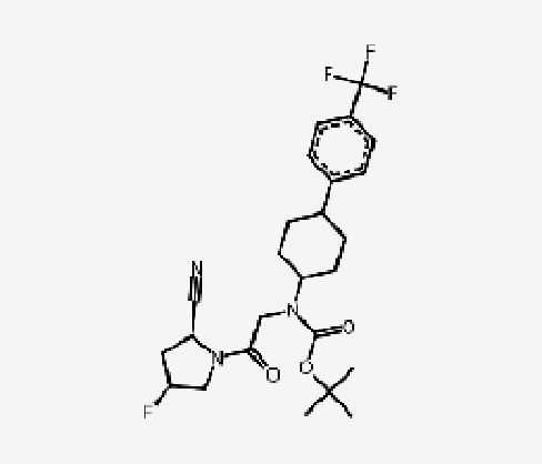 CC(C)(C)OC(=O)N(CC(=O)N1C[C@@H](F)C[C@H]1C#N)C1CCC(c2ccc(C(F)(F)F)cc2)CC1